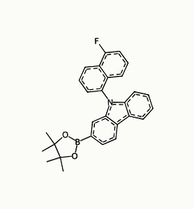 CC1(C)OB(c2ccc3c4ccccc4n(-c4cccc5c(F)cccc45)c3c2)OC1(C)C